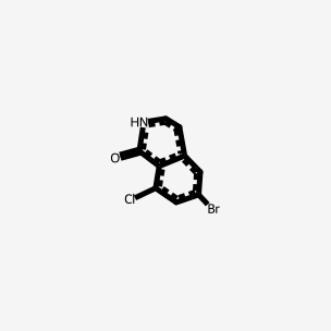 O=c1[nH]ccc2cc(Br)cc(Cl)c12